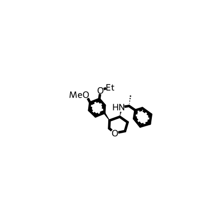 CCOc1cc([C@@H]2COCC[C@H]2N[C@H](C)c2ccccc2)ccc1OC